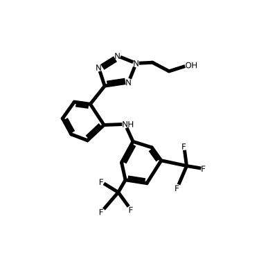 OCCn1nnc(-c2ccccc2Nc2cc(C(F)(F)F)cc(C(F)(F)F)c2)n1